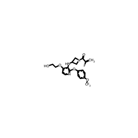 C=C(F)C(=O)N1CC(Nc2c(OCCO)ccnc2Oc2ccc(OC(F)(F)F)cc2)C1